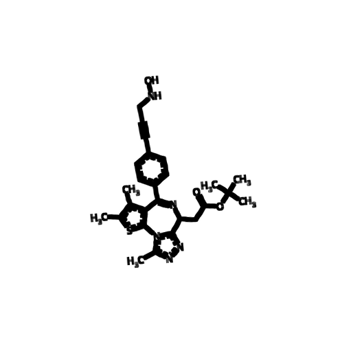 Cc1sc2c(c1C)C(c1ccc(C#CCNO)cc1)=NC(CC(=O)OC(C)(C)C)c1nnc(C)n1-2